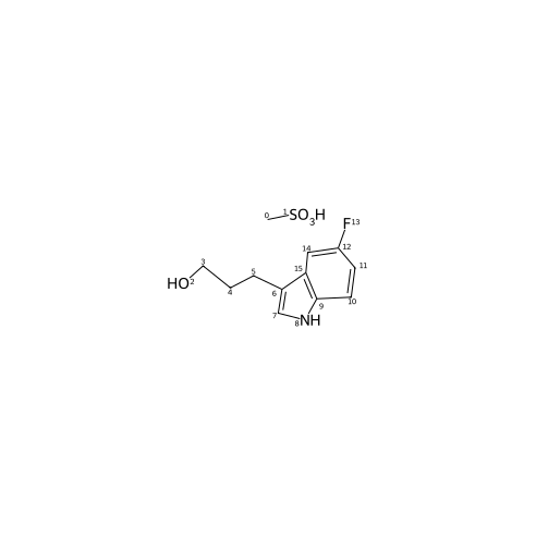 CS(=O)(=O)O.OCCCc1c[nH]c2ccc(F)cc12